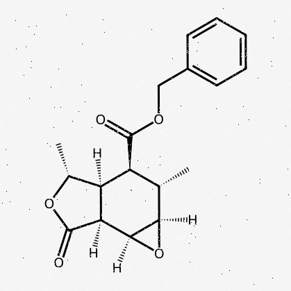 C[C@@H]1[C@H]2O[C@H]2[C@H]2C(=O)O[C@H](C)[C@H]2[C@H]1C(=O)OCc1ccccc1